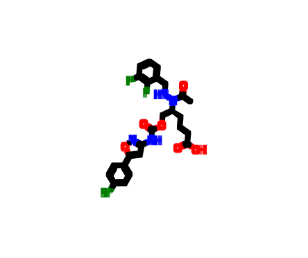 CC(=O)N(NCc1cccc(F)c1F)[C@@H](CCCC(=O)O)COC(=O)Nc1cc(-c2ccc(Br)cc2)on1